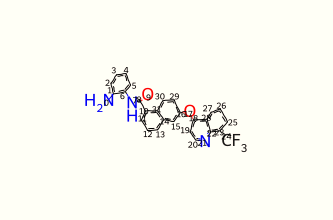 Nc1ccccc1NC(=O)c1cccc2cc(Oc3ccnc4c(C(F)(F)F)cccc34)ccc12